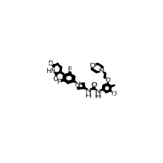 Cc1c(Cl)cc(NC(=O)NC2CN(c3cc(F)c(C4CCC(=O)NC4=O)c(F)c3)C2)cc1OCCN1CCOCC1